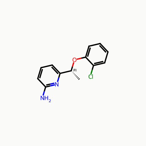 C[C@@H](Oc1ccccc1Cl)c1cccc(N)n1